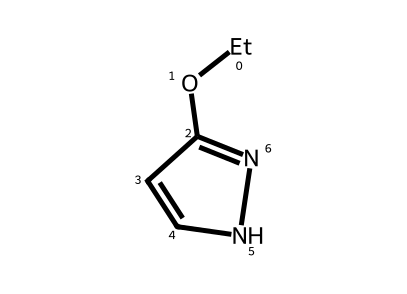 CCOc1cc[nH]n1